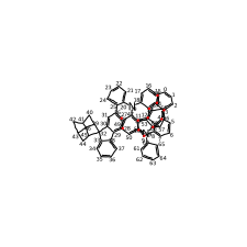 c1ccc(-c2cccc3cccc(-c4ccccc4N(c4ccccc4-c4ccc5c(c4)C4(c6ccccc6-5)C5CC6CC7CC4C675)c4cccc5c4c4ccccc4n5-c4ccccc4)c23)cc1